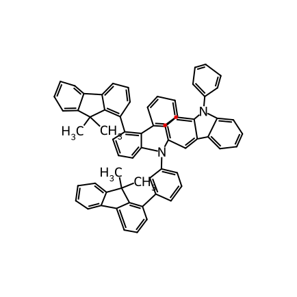 CC1(C)c2ccccc2-c2cccc(-c3cccc(N(c4ccc5c(c4)c4ccccc4n5-c4ccccc4)c4cccc(-c5cccc6c5C(C)(C)c5ccccc5-6)c4-c4ccccc4)c3)c21